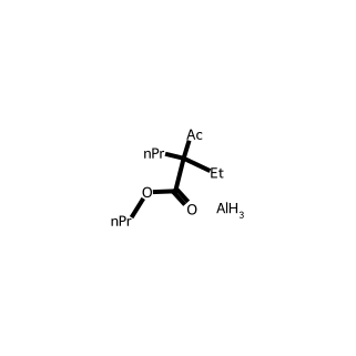 CCCOC(=O)C(CC)(CCC)C(C)=O.[AlH3]